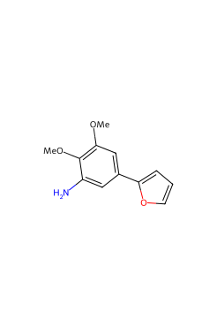 COc1cc(-c2ccco2)cc(N)c1OC